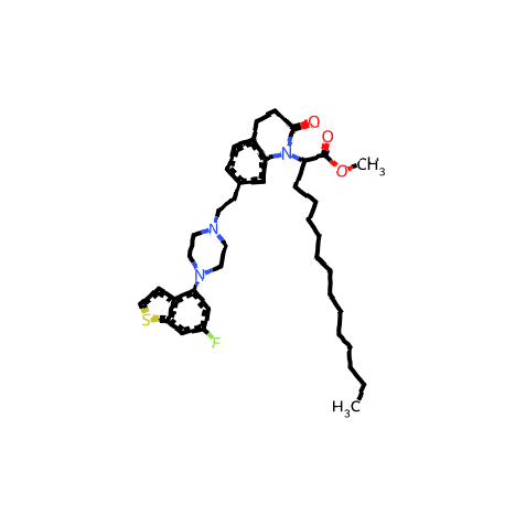 CCCCCCCCCCCCCC(C(=O)OC)N1C(=O)CCc2ccc(CCN3CCN(c4cc(F)cc5sccc45)CC3)cc21